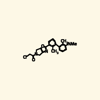 CNc1cccc(-c2cccc(-c3nc4c(o3)CN(C(=O)CCl)C4)c2C)c1C